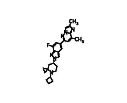 Cc1cn2nc(-c3cc(F)c4nn([C@H]5CCN(C6CCC6)C6(CC6)C5)cc4c3)cc(C)c2n1